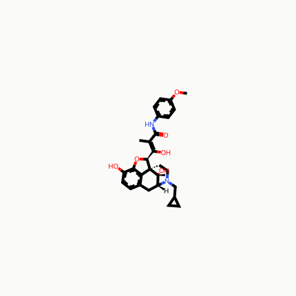 COc1ccc(NC(=O)/C(C)=C(\O)[C@@H]2Oc3c(O)ccc4c3[C@@]23CCN(CC2CC2)[C@H](C4)[C@@]3(C)O)cc1